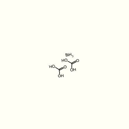 O=C(O)O.O=C(O)O.[BiH3]